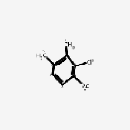 CC(=O)c1ccc(C)c(C)c1Cl